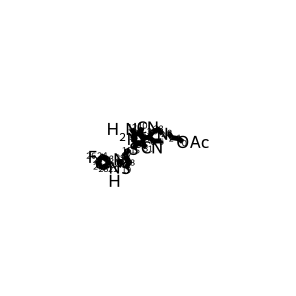 CC(=O)OCCCN1CCC(c2c(C#N)c(N)nc(SCc3csc(Nc4ccc(F)cc4)n3)c2C#N)CC1